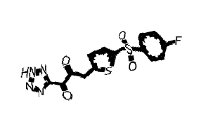 O=C(Cc1ccc(S(=O)(=O)c2ccc(F)cc2)s1)C(=O)c1nn[nH]n1